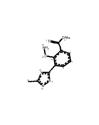 COC(=O)c1cccc(-c2nnc(C)s2)c1ON